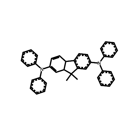 CC1(C)c2cc(N(c3ccccc3)c3ccccc3)ccc2C2C=CC(N(c3ccccc3)c3ccccc3)=CC21